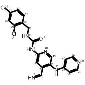 N=Cc1cc(NC(=O)NCc2ccc(Cl)cc2Cl)ncc1Nc1ccncc1